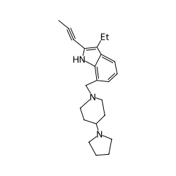 CC#Cc1[nH]c2c(CN3CCC(N4CCCC4)CC3)cccc2c1CC